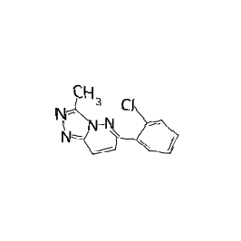 Cc1nnc2ccc(-c3ccccc3Cl)nn12